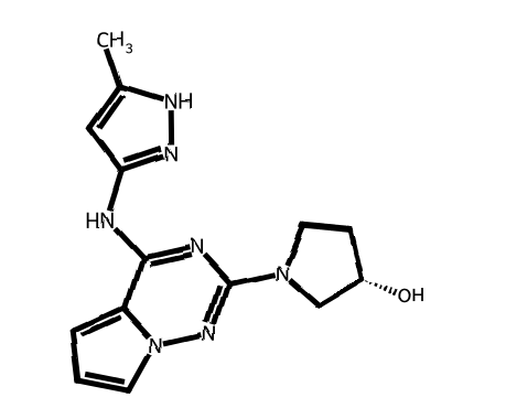 Cc1cc(Nc2nc(N3CC[C@H](O)C3)nn3cccc23)n[nH]1